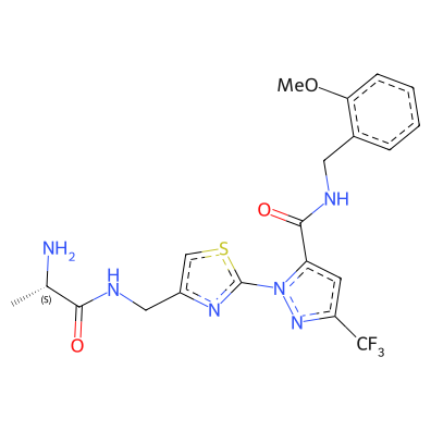 COc1ccccc1CNC(=O)c1cc(C(F)(F)F)nn1-c1nc(CNC(=O)[C@H](C)N)cs1